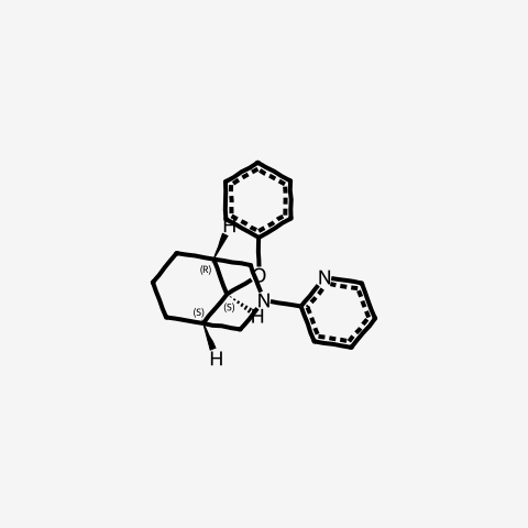 c1ccc(O[C@@H]2[C@@H]3CCC[C@H]2CN(c2ccccn2)C3)cc1